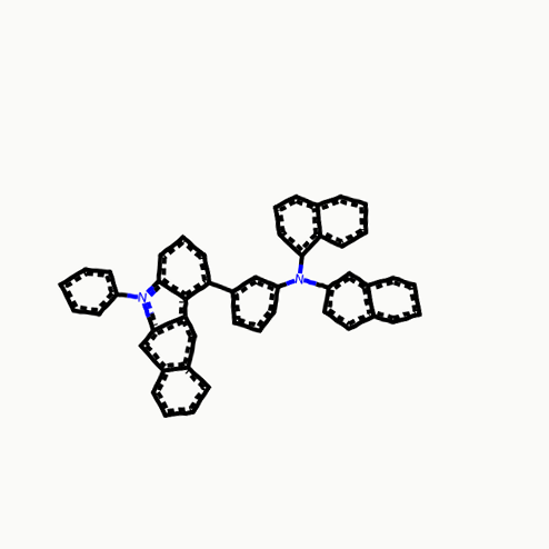 c1ccc(-n2c3cc4ccccc4cc3c3c(-c4cccc(N(c5ccc6ccccc6c5)c5cccc6ccccc56)c4)cccc32)cc1